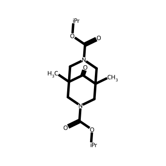 CC(C)OC(=O)N1CC2(C)CN(C(=O)OC(C)C)CC(C)(C1)C2=O